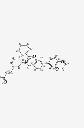 COC(=O)/C=C/c1cccc(N(Cc2ccc(-c3ccc4c(c3)OCC=N4)cc2)C(=O)C2CCCCC2)c1